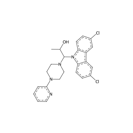 CC(O)C(N1CCN(c2ccccn2)CC1)n1c2ccc(Cl)cc2c2cc(Cl)ccc21